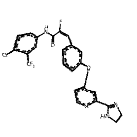 O=C(Nc1ccc(Cl)c(C(F)(F)F)c1)/C(F)=C\c1cccc(Oc2ccnc(C3=NCCN3)c2)c1